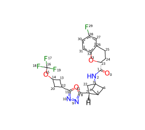 O=C(NC12CC(C1)[C@H](c1nnc(C3CC(OC(F)(F)F)C3)o1)C2)[C@H]1CCc2cc(F)ccc2O1